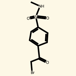 CNS(=O)(=O)c1ccc(C(=O)CBr)cc1